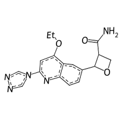 CCOc1cc(-n2cnnc2)nc2ccc(C3OCC3C(N)=O)cc12